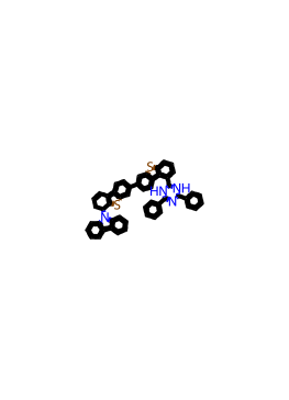 C1=Cc2c(sc3cc(-c4ccc5c(c4)sc4cccc(C6NC(c7ccccc7)=NC(c7ccccc7)N6)c45)ccc23)C(n2c3ccccc3c3ccccc32)C1